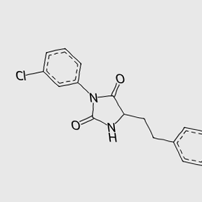 O=C1NC(CCc2ccccc2)C(=O)N1c1cccc(Cl)c1